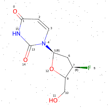 O=c1ccn([C@H]2C[C@@H](F)C(CO)O2)c(=O)[nH]1